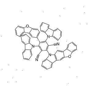 N#Cc1c(-n2c3ccccc3c3cc4oc5ccccc5c4cc32)c(C#N)c(-n2c3ccccc3c3ccccc32)c(-c2ccc3oc4ccccc4c3c2)c1-n1c2ccccc2c2ccccc21